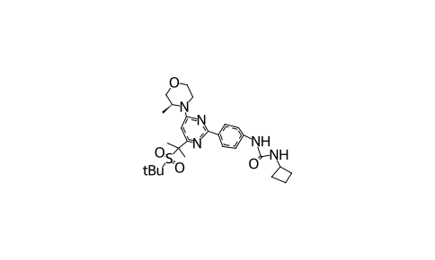 C[C@H]1COCCN1c1cc(C(C)(C)S(=O)(=O)C(C)(C)C)nc(-c2ccc(NC(=O)NC3CCC3)cc2)n1